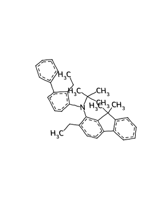 CCc1ccc2c(c1N(c1cccc(-c3ccccc3)c1CC)C(C)(C)C)C(C)(C)c1ccccc1-2